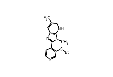 CCSc1cnccc1-c1nc2c(n1C)NCC(C(F)(F)F)=C2